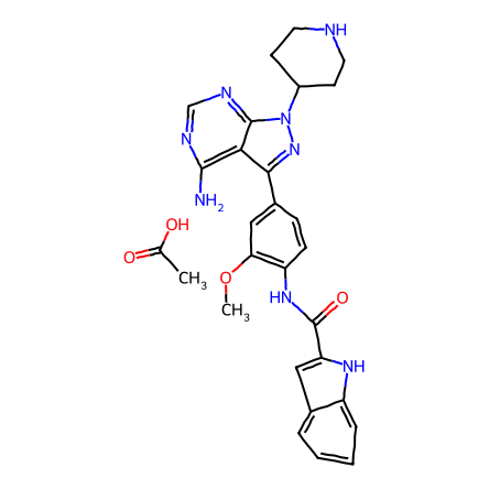 CC(=O)O.COc1cc(-c2nn(C3CCNCC3)c3ncnc(N)c23)ccc1NC(=O)c1cc2ccccc2[nH]1